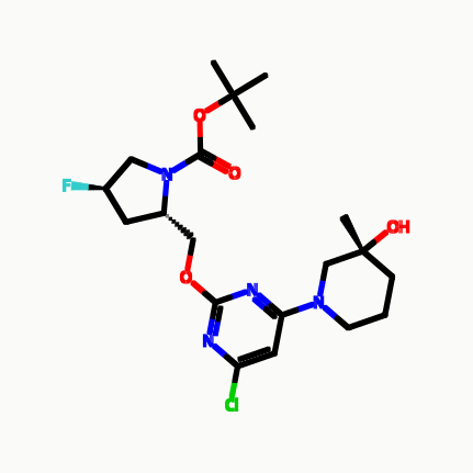 CC(C)(C)OC(=O)N1C[C@H](F)C[C@H]1COc1nc(Cl)cc(N2CCC[C@@](C)(O)C2)n1